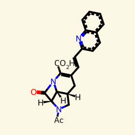 CC(=O)N1C[C@H]2CC(/C=C/c3ccc4ccccc4n3)=C(C(=O)O)N3C(=O)[C@@H]1[C@@H]23